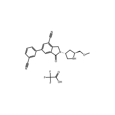 COC[C@@H]1C[C@@H](N2Cc3c(C#N)cc(-c4cccc(C#N)c4)cc3C2=O)CN1.O=C(O)C(F)(F)F